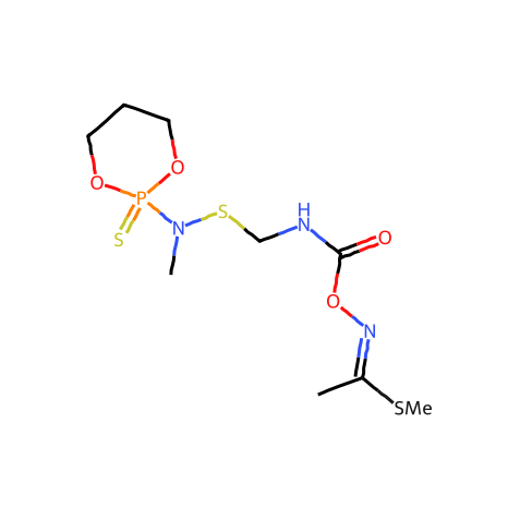 CS/C(C)=N/OC(=O)NCSN(C)P1(=S)OCCCO1